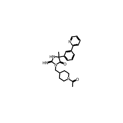 CC(=O)N1CCC(CN2C(=N)NC(C)(c3cccc(-c4ccccn4)c3)C2=O)CC1